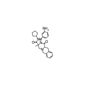 CC1(C(=O)NC2CCCC2)CN2Cc3ccccc3CC2C(=O)N1Cc1cccc(N)c1